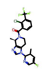 CC1C=C(F)C=NC1n1cnc2c1CCN(C(=O)c1cccc(C(F)(F)F)c1Cl)[C@@H]2C